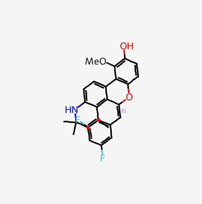 COc1c(O)ccc2c1-c1ccc3c(c1/C(=C\c1cc(F)cc(F)c1)O2)C(C)=CC(C)(C)N3